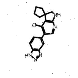 Clc1c(-c2ccc3[nH]nnc3c2)cnc2c1C1(CCCC1)CN2